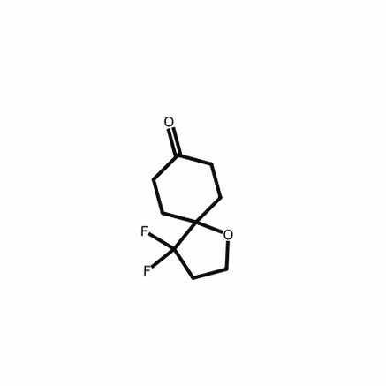 O=C1CCC2(CC1)OCCC2(F)F